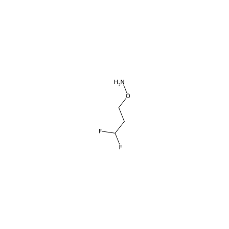 NOCCC(F)F